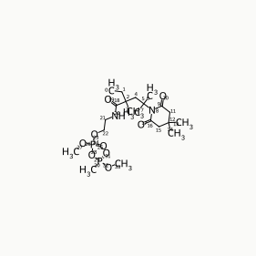 CCC(C)(CC(C)(C)N1C(=O)CC(C)(C)CC1=O)C(=O)NCCOP(=O)(OC)OP(C)(=O)OC